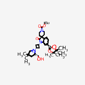 CC1(C)C[C@@H](CO)N([C@H]2C[C@@H](N3C(=O)C4(CCN(C(=O)OC(C)(C)C)CC4)c4ccc(B5OC(C)(C)C(C)(C)O5)cc43)C2)C1